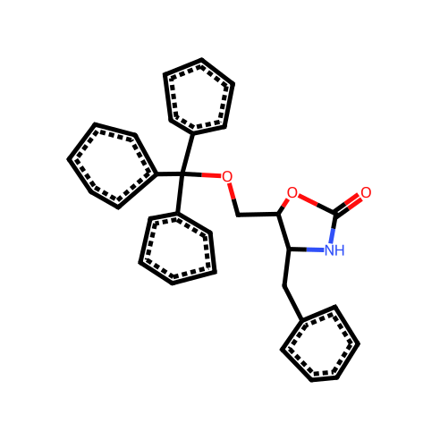 O=C1NC(Cc2ccccc2)C(COC(c2ccccc2)(c2ccccc2)c2ccccc2)O1